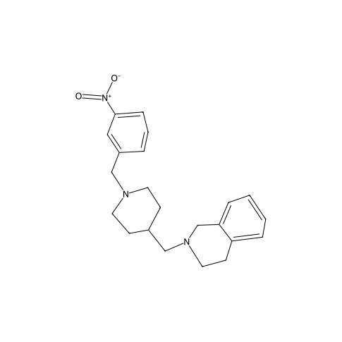 O=[N+]([O-])c1cccc(CN2CCC(CN3CCc4ccccc4C3)CC2)c1